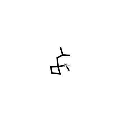 CNC1(CC(C)C)CCC1